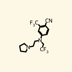 N#Cc1ccc(N(CCN2CCCC2)CC(F)(F)F)cc1C(F)(F)F